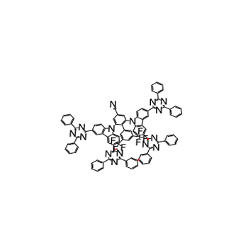 N#Cc1cc(-n2c3ccc(-c4nc(-c5ccccc5)nc(-c5ccccc5)n4)cc3c3cc(-c4nc(-c5ccccc5)nc(-c5ccccc5)n4)ccc32)c(-c2cc(C(F)(F)F)cc(C(F)(F)F)c2)c(-n2c3ccc(-c4nc(-c5ccccc5)nc(-c5ccccc5)n4)cc3c3cc(-c4nc(-c5ccccc5)nc(-c5ccccc5)n4)ccc32)c1